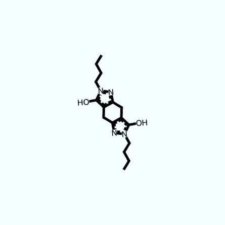 CCCCn1nc2c(c1O)Cc1nn(CCCC)c(O)c1C2